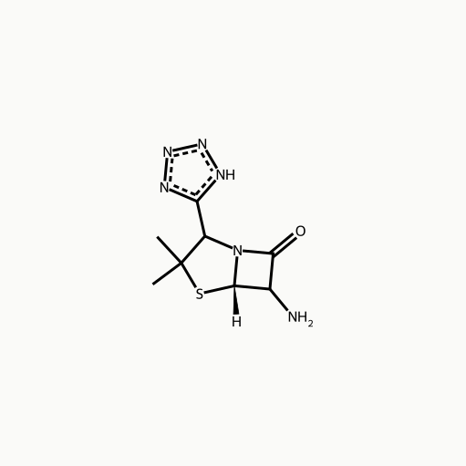 CC1(C)S[C@H]2C(N)C(=O)N2C1c1nnn[nH]1